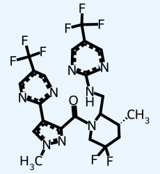 C[C@@H]1CC(F)(F)CN(C(=O)c2nn(C)cc2-c2ncc(C(F)(F)F)cn2)C1CNc1ncc(C(F)(F)F)cn1